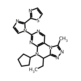 CCC1c2nnc(C)n2-c2cnc(-n3ccnc3-c3nccs3)nc2N1C1CCCC1